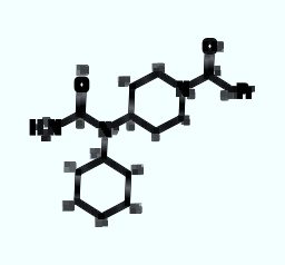 CCCC(=O)N1CCC(N(C(N)=O)C2CCCCC2)CC1